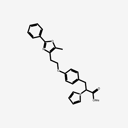 COC(=O)C(Cc1ccc(OCCc2nc(-c3ccccc3)oc2C)cc1)n1cccc1